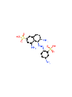 Nc1ccc(N=Nc2c(N)ccc3cc(S(=O)(=O)O)cc(N)c23)c(S(=O)(=O)O)c1